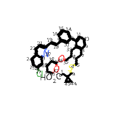 O=C(O)CC1(CSCCCc2cccc(-c3cccc(C=Cc4ccc5ccc(Cl)cc5n4)c3)c2CCCO[C@@H]2CCCCO2)CC1